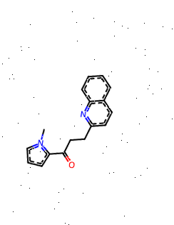 Cn1cccc1C(=O)CCc1ccc2ccccc2n1